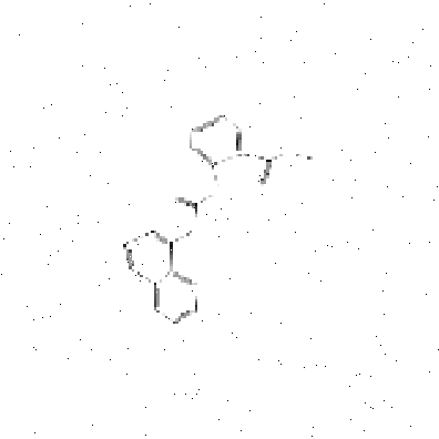 COC(=O)c1ccccc1OC(=O)Oc1cccc2ccccc12